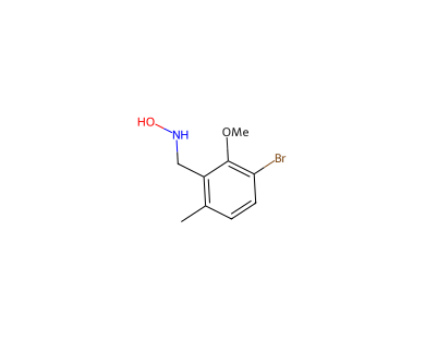 COc1c(Br)ccc(C)c1CNO